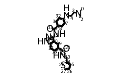 CN(C)CCNc1ccc(C(=O)Nc2n[nH]c3ccc(C(=O)NCc4cccs4)cc23)cc1